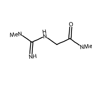 CNC(=N)NCC(=O)NC